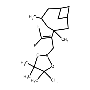 CC1CC2CC(C2)CC(C)(C(CB2OC(C)(C)C(C)(C)O2)=C(F)F)C1